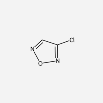 Clc1cnon1